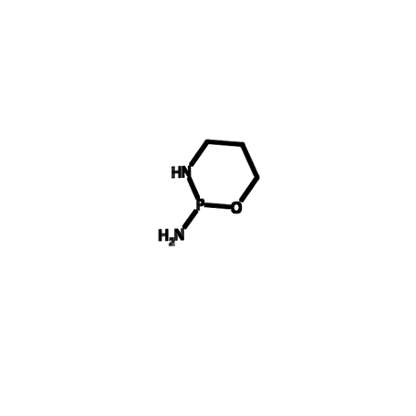 NP1NCCCO1